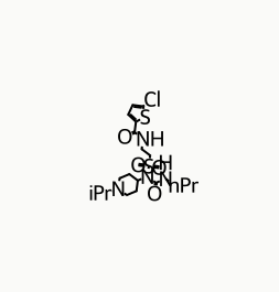 CCCNC(=O)N(C1CCN(C(C)C)CC1)S(=O)(=O)CCNC(=O)c1ccc(Cl)s1